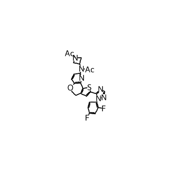 CC(=O)N1CC(N(C(C)=O)c2ccc3c(n2)-c2sc(-c4ncnn4-c4ccc(F)cc4F)cc2CCO3)C1